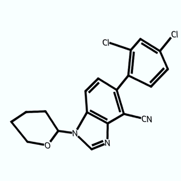 N#Cc1c(-c2ccc(Cl)cc2Cl)ccc2c1ncn2C1CCCCO1